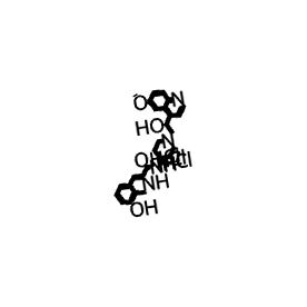 COc1ccc2nccc([C@@H](O)CN3CCC(NC(=O)C4=Cc5cccc(O)c5CN4)CC3)c2c1.Cl.Cl.Cl